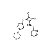 Cc1cc(Nc2c(NCc3ccccn3)c(=O)c2=O)ccc1N1CCOCC1